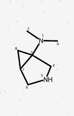 CN(C)C12CNCC1C2